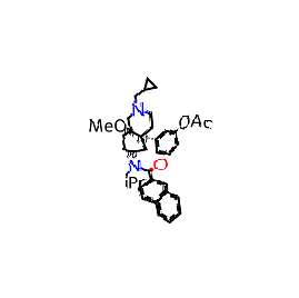 CO[C@]12CC[C@@H](N(CC(C)C)C(=O)c3ccc4ccccc4c3)C[C@]1(c1cccc(OC(C)=O)c1)CCN(CC1CC1)C2